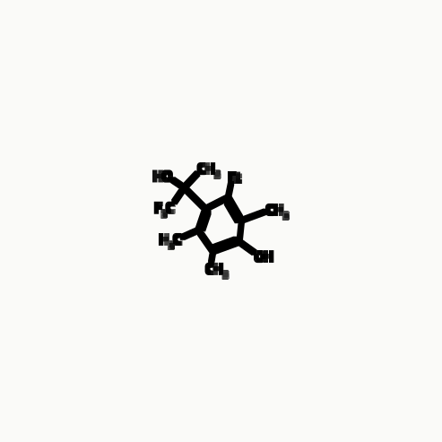 CCc1c(C)c(O)c(C)c(C)c1C(C)(O)C(F)(F)F